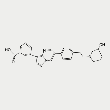 O=S(O)c1cccc(-c2cnn3cc(-c4ccc(CCN5CCCC(O)C5)cc4)cnc23)c1